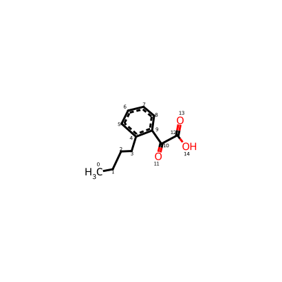 CCCCc1ccccc1C(=O)C(=O)O